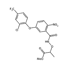 COC(=O)C(C)ONC(=O)c1cc(Oc2ccc(C(F)(F)F)cc2Cl)ccc1[N+](=O)[O-]